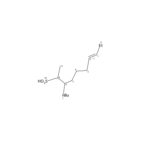 CC/C=C/CCCC(CCCC)C(C)S(=O)(=O)O